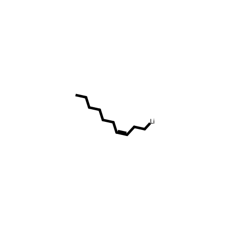 [Li][CH2]C/C=C\CCCCCC